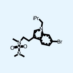 CC(C)Cn1cc(CCN(C)S(=O)(=O)N(C)C)c2ccc(Br)cc21